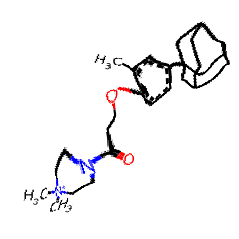 Cc1cc(C23CC4CC(CC(C4)C2)C3)ccc1OCCC(=O)N1CC[N+](C)(C)CC1